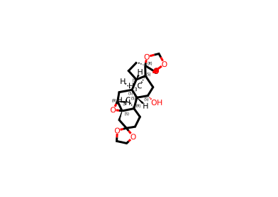 C[C@]12C[C@H](O)[C@H]3[C@@H](C[C@H]4O[C@]45CC4(CC[C@]35C)OCCO4)[C@@H]1CC[C@@]21OCOC12COCO2